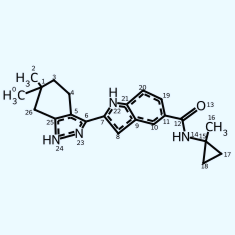 CC1(C)CCc2c(-c3cc4cc(C(=O)NC5(C)CC5)ccc4[nH]3)n[nH]c2C1